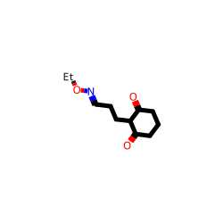 CCON=CCCC1C(=O)CCCC1=O